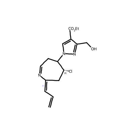 C=C/C=C1\C[C@@H](Cl)C(n2cc(C(=O)OCC)c(CO)n2)CC=N1